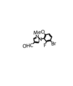 COc1ccc(Br)c(F)c1-n1cc(C=O)cn1